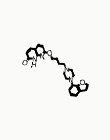 O=c1ccc2ccc(OCCCCN3CCN(c4cccc5c4OCC5)CC3)nc2[nH]1